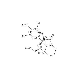 C#CCN1C[C@H](COC)[C@@H]2CCCC(C1=O)N2S(=O)(=O)c1cc(Cl)c(NC(C)=O)c(Cl)c1